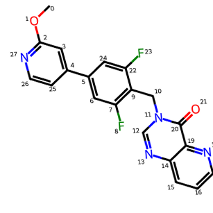 COc1cc(-c2cc(F)c(Cn3cnc4cccnc4c3=O)c(F)c2)ccn1